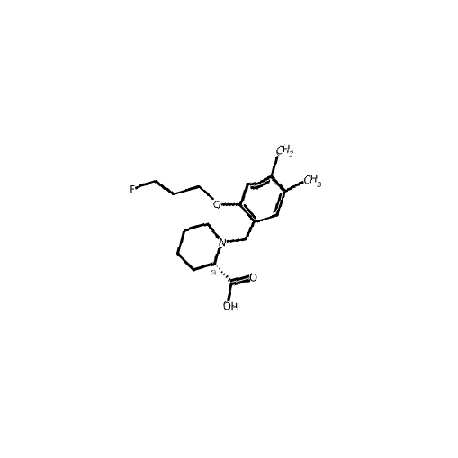 Cc1cc(CN2CCCC[C@H]2C(=O)O)c(OCCCF)cc1C